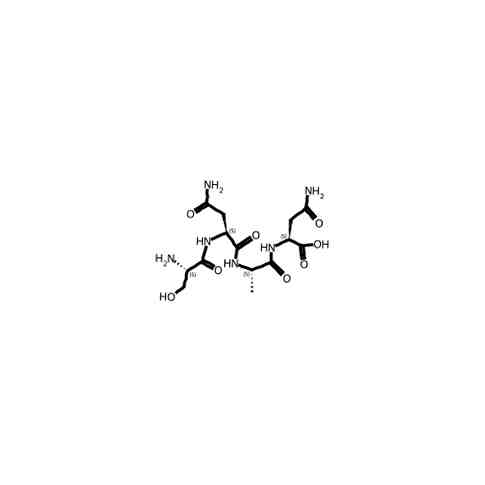 C[C@H](NC(=O)[C@H](CC(N)=O)NC(=O)[C@@H](N)CO)C(=O)N[C@@H](CC(N)=O)C(=O)O